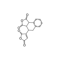 O=C1C=C(C2Cc3ccccc3C3C(=O)OC(=O)C23)C(=O)O1